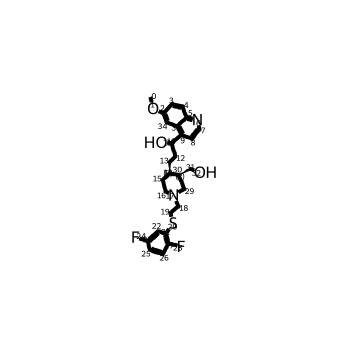 COc1ccc2nccc(C(O)CC[C@@H]3CCN(CCSc4cc(F)ccc4F)C[C@@H]3CO)c2c1